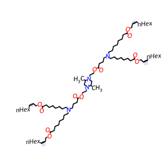 CCCCCC/C=C\COC(=O)CCCCCCCN(CCCCCCCC(=O)OC/C=C\CCCCCC)CCCC(=O)OCCN1CC(C)N(CCOC(=O)CCCN(CCCCCCCC(=O)OC/C=C\CCCCCC)CCCCCCCC(=O)OC/C=C\CCCCCC)CC1C